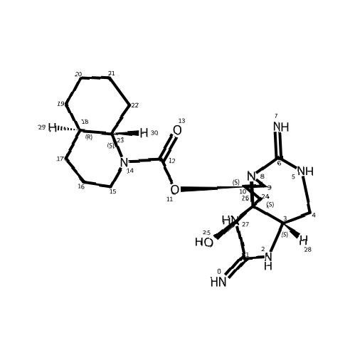 N=C1N[C@H]2CNC(=N)N3C[C@H](OC(=O)N4CCC[C@H]5CCCC[C@@H]54)[C@@H](O)C23N1